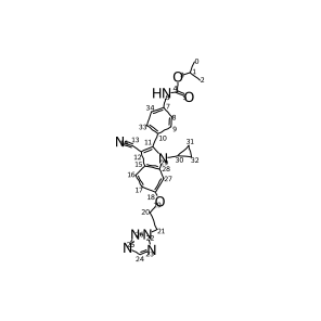 CC(C)OC(=O)Nc1ccc(-c2c(C#N)c3ccc(OCCn4ncnn4)cc3n2C2CC2)cc1